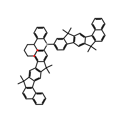 CC1(C)c2cc(N(c3ccc4c(c3)C(C)(C)c3cc5c(cc3-4)C(C)(C)c3ccc4ccccc4c3-5)c3ccccc3C3CCCCC3)ccc2-c2cc3c(cc21)-c1c(ccc2ccccc12)C3(C)C